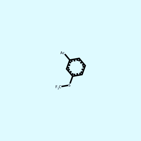 CC(=O)c1cccc(SC(F)(F)F)c1